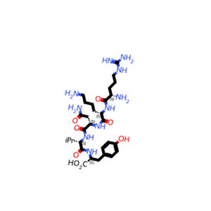 CC(C)[C@H](NC(=O)[C@H](CC(N)=O)NC(=O)[C@H](CCCCN)NC(=O)[C@@H](N)CCCNC(=N)N)C(=O)N[C@@H](Cc1ccc(O)cc1)C(=O)O